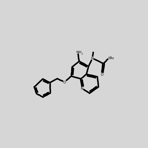 CN(C(=O)C(C)(C)C)c1c(N)cc(OCc2ccccc2)c2ncccc12